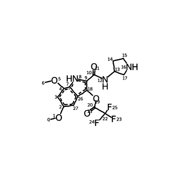 COc1cc(OC)c2[nH]c(C(=O)NC3CCNC3)c(OC(=O)C(F)(F)F)c2c1